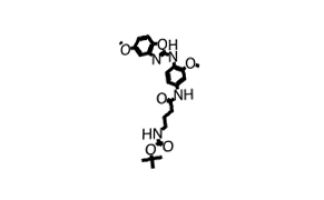 COc1ccc2oc(Nc3ccc(NC(=O)CCCNC(=O)OC(C)(C)C)cc3OC)nc2c1